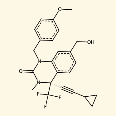 COc1ccc(CN2C(=O)N(C)[C@](C#CC3CC3)(C(F)(F)F)c3ccc(CO)cc32)cc1